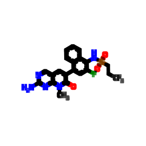 Cn1c(=O)c(-c2cc(F)c(NS(=O)(=O)CCC(F)(F)F)c3ccccc23)cc2cnc(N)nc21